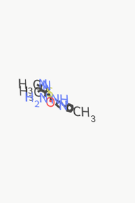 Cc1ccc(N2CCC(NC(=O)c3sc4nnc(C)c(C)c4c3N)C2)cc1